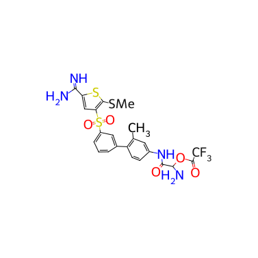 CSc1sc(C(=N)N)cc1S(=O)(=O)c1cccc(-c2ccc(NC(=O)C(N)OC(=O)C(F)(F)F)cc2C)c1